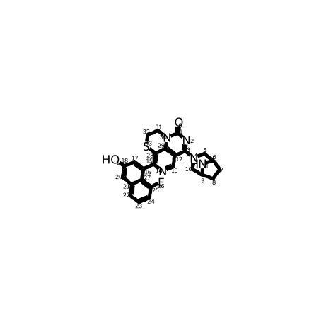 O=c1nc(N2CC3CCC(C2)N3)c2cnc(-c3cc(O)cc4cccc(F)c34)c3c2n1CCS3